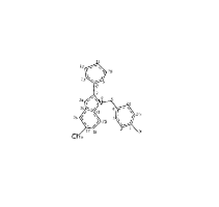 Cc1ccc(Cn2c(-c3ccccc3)cc3cc(Cl)ccc32)cc1